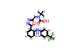 CC(C)(C)N(Cc1nnc(-c2ccccc2Nc2ccc(C(F)(F)F)cc2)o1)C(=O)O